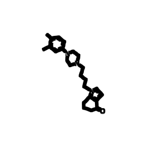 Cc1ccc(N2CCN(CCCCn3ccc4c3CCCC4=O)CC2)cc1C